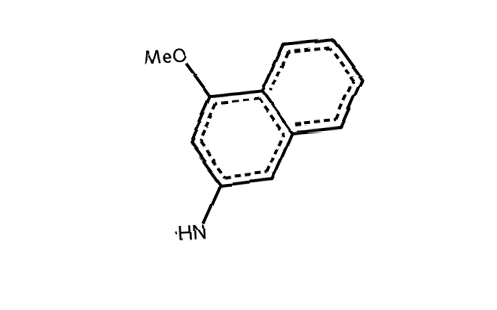 COc1cc([NH])cc2ccccc12